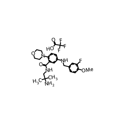 COc1ccc(CNc2ccc(N3CCOCC3)c(C(=O)NCC(C)(C)N)c2)cc1F.O=C(O)C(F)(F)F